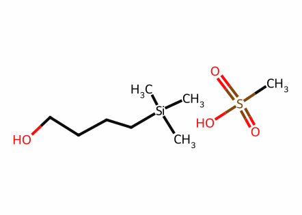 CS(=O)(=O)O.C[Si](C)(C)CCCCO